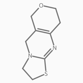 C1CC2=C(CO1)CN1CCSC1=N2